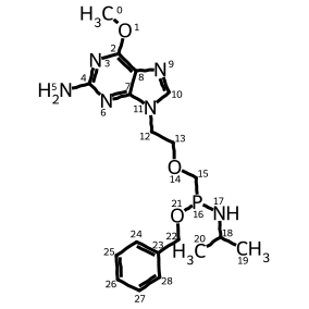 COc1nc(N)nc2c1ncn2CCOCP(NC(C)C)OCc1ccccc1